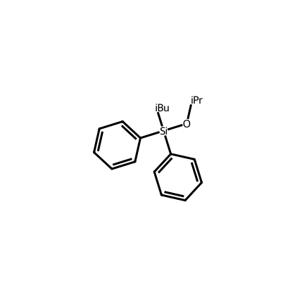 CCC(C)[Si](OC(C)C)(c1ccccc1)c1ccccc1